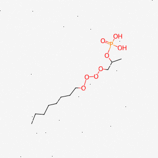 CCCCCCCCOOOOCC(C)OP(=O)(O)O